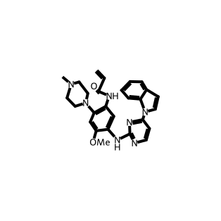 C=CC(=O)Nc1cc(Nc2nccc(-n3ccc4ccccc43)n2)c(OC)cc1N1CCN(C)CC1